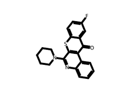 O=c1c2cc(F)ccc2sc2c(N3CCCCC3)nc3ccccc3c12